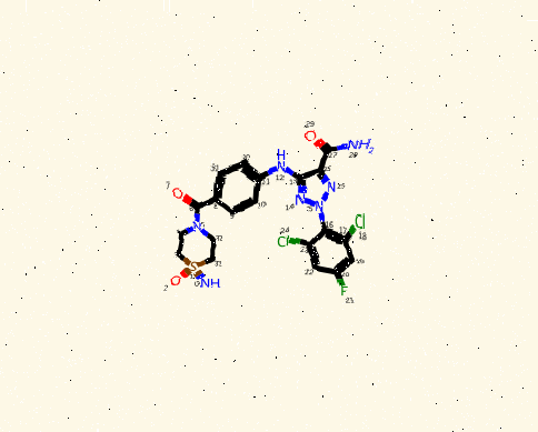 N=S1(=O)CCN(C(=O)c2ccc(Nc3nn(-c4c(Cl)cc(F)cc4Cl)nc3C(N)=O)cc2)CC1